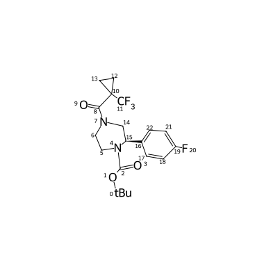 CC(C)(C)OC(=O)N1CCN(C(=O)C2(C(F)(F)F)CC2)C[C@H]1c1ccc(F)cc1